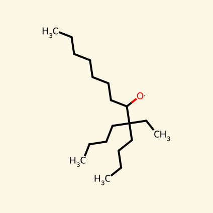 CCCCCCCC([O])C(CC)(CCCC)CCCC